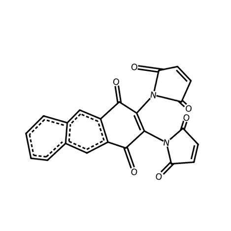 O=C1C(N2C(=O)C=CC2=O)=C(N2C(=O)C=CC2=O)C(=O)c2cc3ccccc3cc21